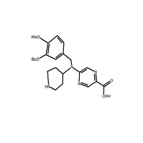 COC(=O)c1cnc(N(Cc2ccc(OC)c(OCC(C)C)c2)C2CCNCC2)cn1